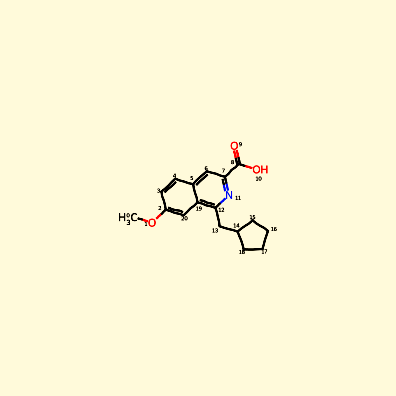 COc1ccc2cc(C(=O)O)nc(CC3CCCC3)c2c1